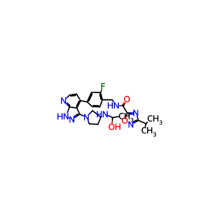 CC(O)N[C@@H]1CCN(c2n[nH]c3nccc(-c4ccc(CNC(=O)c5nc(C(C)C)no5)c(F)c4)c23)C1